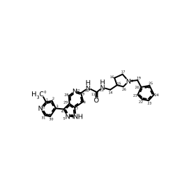 Cc1cc(-c2n[nH]c3cc(NC(=O)NCC4CCN(Cc5ccccc5)C4)ncc23)ccn1